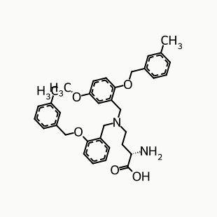 COc1ccc(OCc2cccc(C)c2)c(CN(CC[C@H](N)C(=O)O)Cc2ccccc2OCc2cccc(C)c2)c1